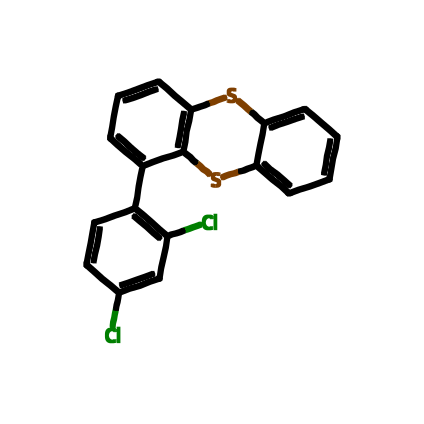 Clc1ccc(-c2cccc3c2Sc2ccccc2S3)c(Cl)c1